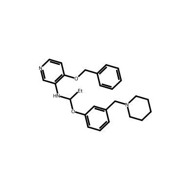 CCC(Nc1cnccc1OCc1ccccc1)Oc1cccc(CN2CCCCC2)c1